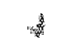 C=CC(=O)Nc1cc(C(=O)N2CCc3c(cccc3C(=O)c3ccc(C(F)(F)F)cc3)C2)ccn1